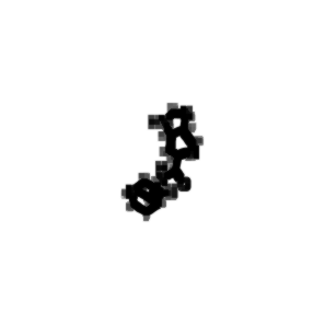 O=C(N[C@H]1CN2CCC1CC2)c1cc2[nH]cnc2cn1